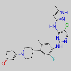 Cc1cc(Nc2nc(Nc3cc(C)c(C4CCN(C5=CC(=O)CC5)CC4)cc3F)ncc2Cl)n[nH]1